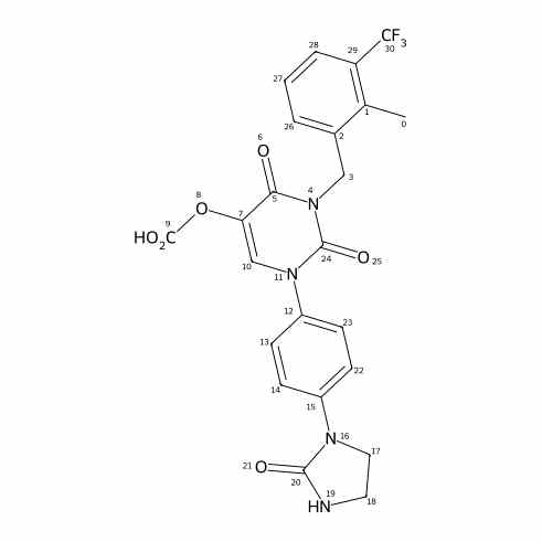 Cc1c(Cn2c(=O)c(OC(=O)O)cn(-c3ccc(N4CCNC4=O)cc3)c2=O)cccc1C(F)(F)F